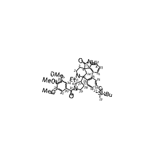 CCN1CCC(C(N)=O)(c2ccccc2)CC1(c1ccc(O[Si](C)(C)C(C)(C)C)cc1)C1CCN(C(=O)c2cc(OC)c(OC)c(OC)c2)C1